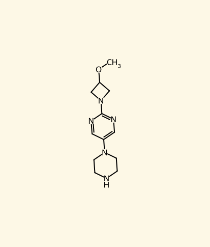 COC1CN(c2ncc(N3CCNCC3)cn2)C1